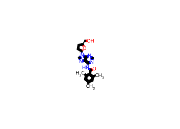 Cc1cc(C)c(C(=O)Nc2ncnc3c2ncn3[C@H]2CC[C@@H](CO)O2)c(C)c1